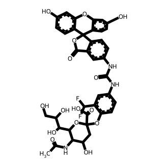 CC(=O)NC1C(O)CC(Oc2ccc(NC(=O)Nc3ccc4c(c3)C(=O)OC43c4ccc(O)cc4Oc4cc(O)ccc43)cc2C(F)F)(C(=O)O)OC1C(O)C(O)CO